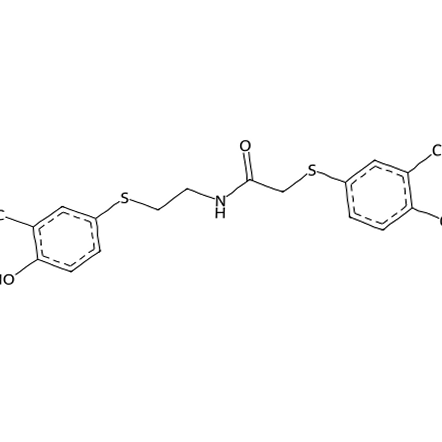 Cc1cc(SCCNC(=O)CSc2ccc(O)c(C)c2)ccc1O